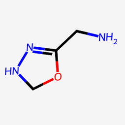 NCC1=NNCO1